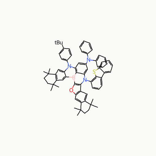 CC(C)(C)c1ccc(N2c3cc4c(cc3B3c5oc6cc7c(cc6c5N(c5cccc6c5sc5ccccc56)c5cc(N(c6ccccc6)c6ccccc6)cc2c53)C(C)(C)CCC7(C)C)C(C)(C)CCC4(C)C)cc1